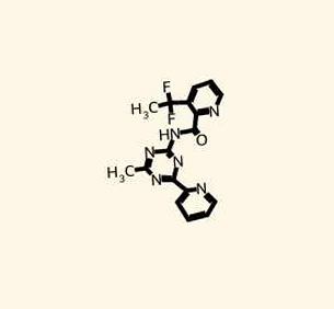 Cc1nc(NC(=O)c2ncccc2C(C)(F)F)nc(-c2ccccn2)n1